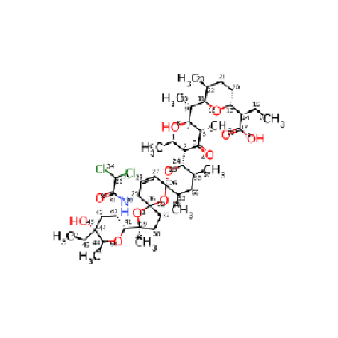 CCC(C(=O)[C@@H](C)[C@@H](O)[C@H](C)[C@@H]1O[C@@H]([C@@H](CC)C(=O)O)CC[C@@H]1C)[C@H]1O[C@]2(C=C[C@@H](NC(=O)C(Cl)Cl)[C@]3(CC[C@@](C)([C@H]4CC[C@](O)(CC)[C@H](C)O4)O3)O2)[C@H](C)C[C@@H]1C